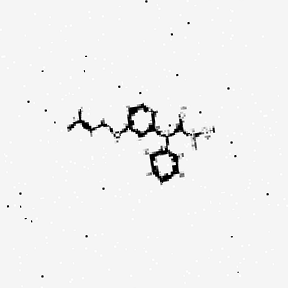 CC(C)=CCOc1cccc(C(C(=O)NO)c2ccccc2)c1